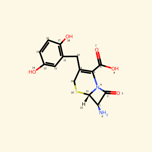 N[C@@H]1C(=O)N2C(C(=O)O)=C(Cc3cc(O)ccc3O)CS[C@@H]12